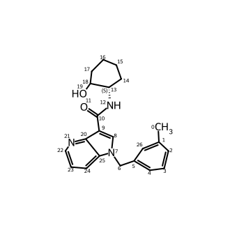 Cc1cccc(Cn2cc(C(=O)N[C@H]3CCCCC3O)c3ncccc32)c1